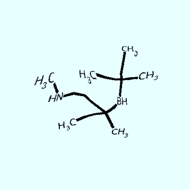 CNCC(C)(C)BC(C)(C)C